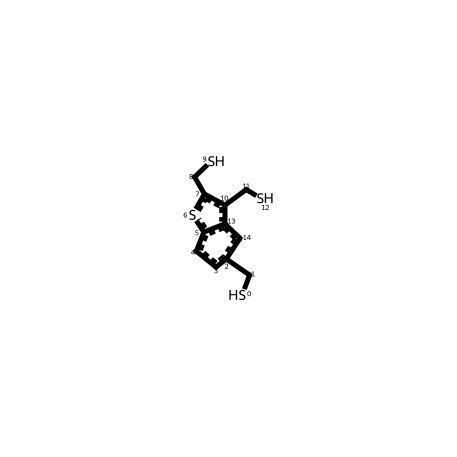 SCc1ccc2sc(CS)c(CS)c2c1